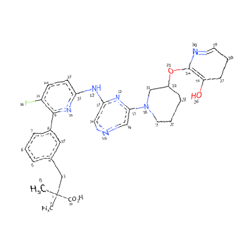 CC(C)(Cc1cccc(-c2nc(Nc3cncc(N4CCCC(OC5=C(O)CCC=N5)C4)n3)ccc2F)c1)C(=O)O